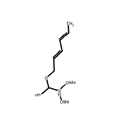 C/C=C/C=C/COC(CCC)[SiH](OC)OC